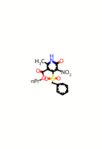 CC[CH]OC(=O)c1c(C)[nH]c(=O)c([N+](=O)[O-])c1S(=O)(=O)Cc1ccccc1